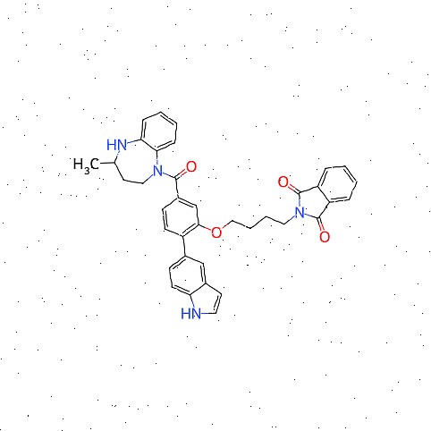 CC1CCN(C(=O)c2ccc(-c3ccc4[nH]ccc4c3)c(OCCCCN3C(=O)c4ccccc4C3=O)c2)c2ccccc2N1